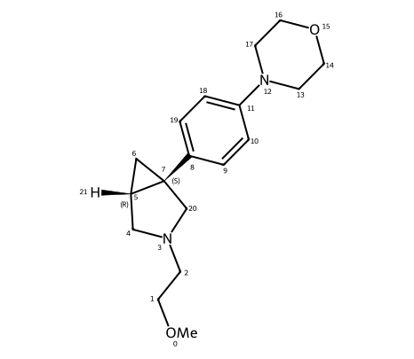 COCCN1C[C@@H]2C[C@]2(c2ccc(N3CCOCC3)cc2)C1